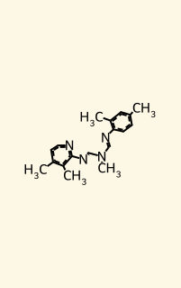 Cc1ccc(N=CN(C)C=Nc2nccc(C)c2C)c(C)c1